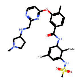 COC1C(NS(C)(=O)=O)=CC(C(C)(C)C)=CC1NC(=O)c1ccc(C)c(Oc2ccnc(CNC3CCN(C)C3)n2)c1